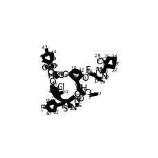 CCOC(=O)[C@H]1Cc2cc(ccc2OC(F)c2ccnc(-c3ccccc3OC)n2)OC[C@H](COS(=O)(=O)c2ccc(C)cc2)Oc2ccc(c(C)c2Cl)-c2c(-c3ccc(F)cc3)sc3ncnc(c23)O1